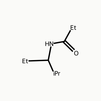 [CH2]CC(=O)NC(CC)C(C)C